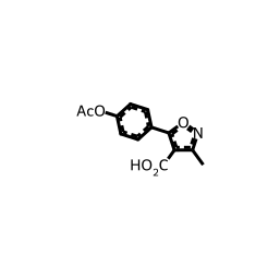 CC(=O)Oc1ccc(-c2onc(C)c2C(=O)O)cc1